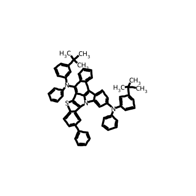 CC(C)(C)c1cccc(N(c2ccccc2)c2ccc3c4c5ccccc5c(N(c5ccccc5)c5cccc(C(C)(C)C)c5)c5c6sc7ccc(-c8ccccc8)cc7c6n(c3c2)c54)c1